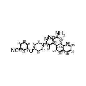 Cc1c(N2CCC(Oc3cccc(C#N)c3)CC2)nnc(C(N)=O)c1C1CC=C2C=CC=NC2C1